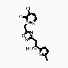 Cc1ccc([C@@H](O)Cc2noc(Cn3nccc(Cl)c3=O)n2)s1